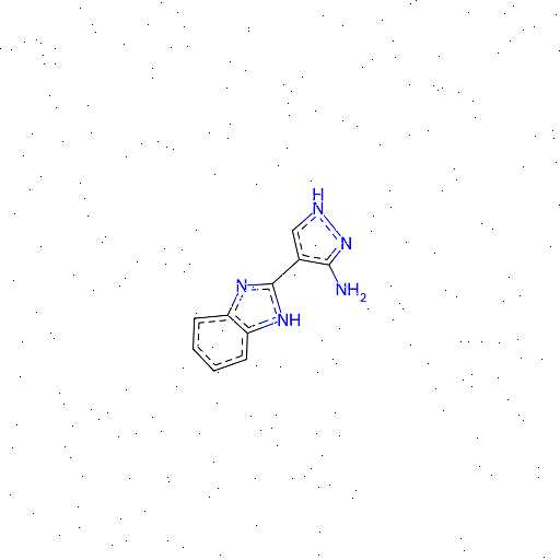 Nc1n[nH]cc1-c1nc2ccccc2[nH]1